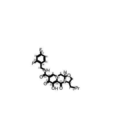 CC(C)CC1CO[C@H]2Cn3cc(C(=O)NCc4ccc(F)cc4F)c(=O)c(O)c3C(=O)N12